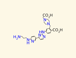 NCCCNc1ccc(-c2ccnc(Nc3ccc(C(=O)O)c(CN4CCN(CC(=O)O)CC4)c3)n2)cn1